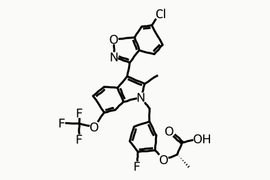 Cc1c(-c2noc3cc(Cl)ccc23)c2ccc(OC(F)(F)F)cc2n1Cc1ccc(F)c(O[C@@H](C)C(=O)O)c1